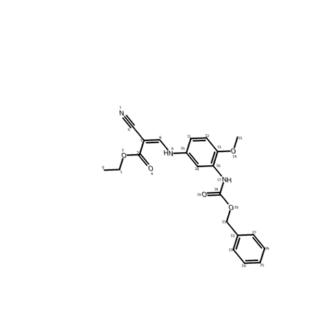 CCOC(=O)/C(C#N)=C\Nc1ccc(OC)c(NC(=O)OCc2ccccc2)c1